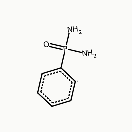 NP(N)(=O)c1[c]cccc1